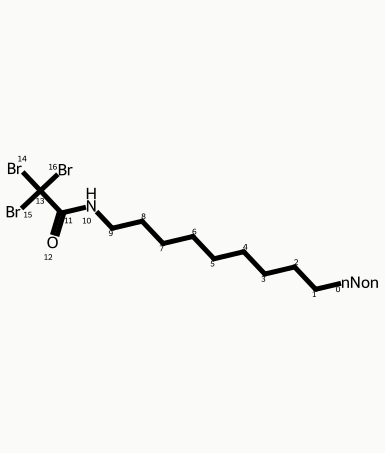 CCCCCCCCCCCCCCCCCCNC(=O)C(Br)(Br)Br